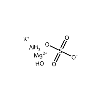 O=S(=O)([O-])[O-].[AlH3].[K+].[Mg+2].[OH-]